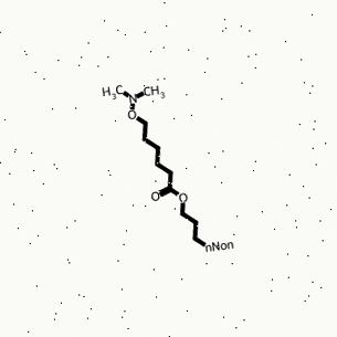 CCCCCCCCCCCCOC(=O)CCCCCON(C)C